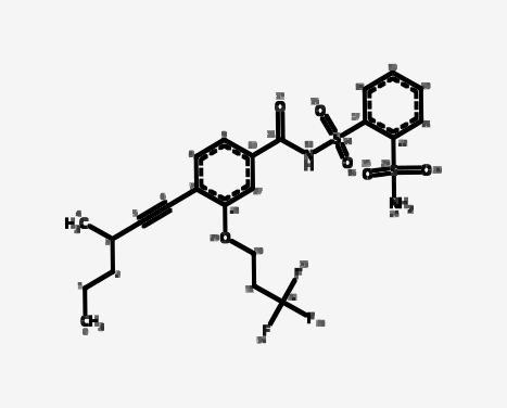 CCCC(C)C#Cc1ccc(C(=O)NS(=O)(=O)c2ccccc2S(N)(=O)=O)cc1OCCC(F)(F)F